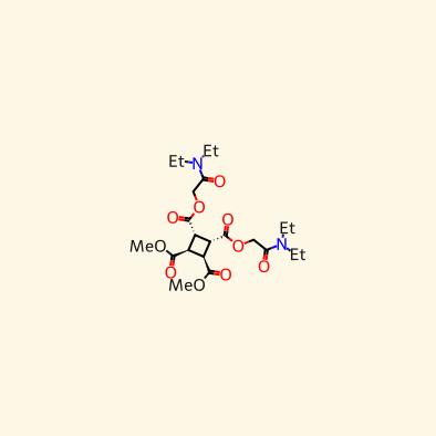 CCN(CC)C(=O)COC(=O)[C@@H]1[C@@H](C(=O)OC)[C@@H](C(=O)OC)[C@@H]1C(=O)OCC(=O)N(CC)CC